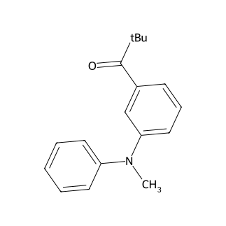 CN(c1ccccc1)c1cccc(C(=O)C(C)(C)C)c1